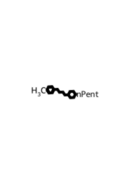 CCCCCC1CCC(CCCCc2ccc(C)cc2)CC1